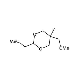 COCC1OCC(C)(COC)CO1